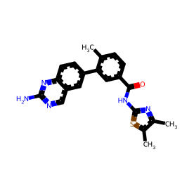 Cc1ccc(C(=O)Nc2nc(C)c(C)s2)cc1-c1ccc2nc(N)ncc2c1